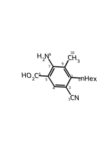 CCCCCCc1c(C#N)cc(C(=O)O)c(N)c1C